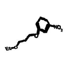 CCOCCCOc1cccc([N+](=O)[O-])c1